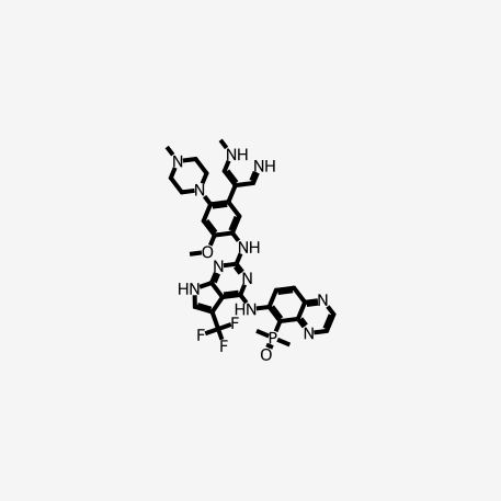 CN/C=C(\C=N)c1cc(Nc2nc(Nc3ccc4nccnc4c3P(C)(C)=O)c3c(C(F)(F)F)c[nH]c3n2)c(OC)cc1N1CCN(C)CC1